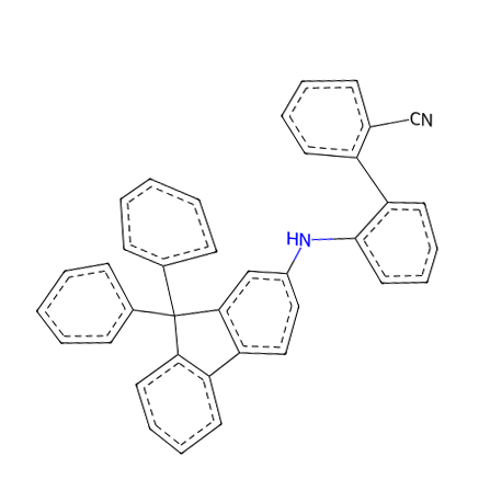 N#Cc1ccccc1-c1ccccc1Nc1ccc2c(c1)C(c1ccccc1)(c1ccccc1)c1ccccc1-2